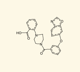 O=C(O)c1ccccc1N1CCN(C(=O)c2cccc(Oc3ccc4ncoc4c3)c2)CC1